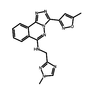 Cc1cc(-c2nnc3c4ccccc4c(NCc4ncn(C)n4)nn23)no1